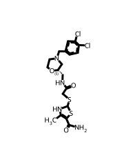 CC1=C(C(N)=O)SC(SCC(=O)NC[C@H]2CN(Cc3ccc(Cl)c(Cl)c3)CCO2)N1